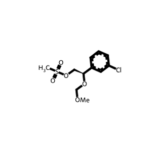 COCO[C@@H](COS(C)(=O)=O)c1cccc(Cl)c1